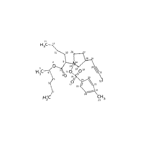 CCCCC(C)OC(=O)C(CCCC)[N+]1(OS(=O)(=O)c2ccc(C)cc2)CCC(CC#CI)C1